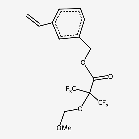 C=Cc1cccc(COC(=O)C(OCOC)(C(F)(F)F)C(F)(F)F)c1